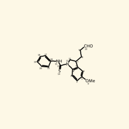 COc1ccc2c(c1)C(CCC=O)CN2C(=S)Nc1ccccc1